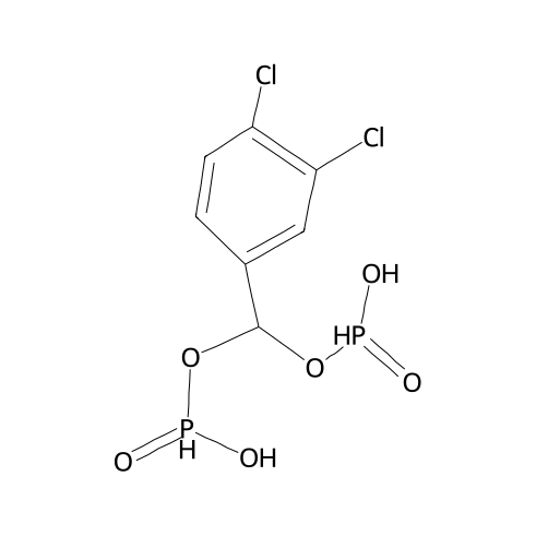 O=[PH](O)OC(O[PH](=O)O)c1ccc(Cl)c(Cl)c1